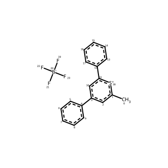 Cc1cc(-c2ccccc2)cc(-c2ccccc2)[s+]1.F[B-](F)(F)F